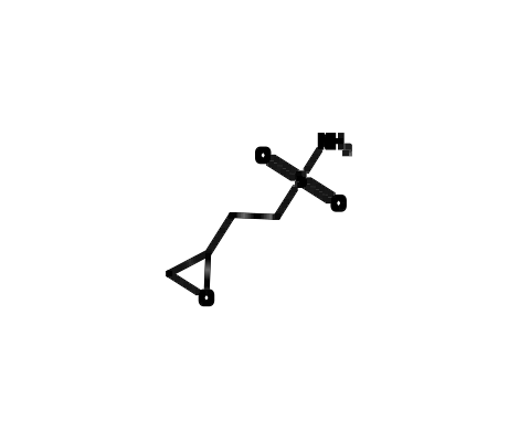 NS(=O)(=O)CCC1CO1